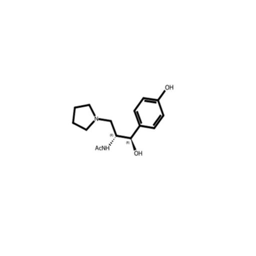 CC(=O)N[C@H](CN1CCCC1)[C@H](O)c1ccc(O)cc1